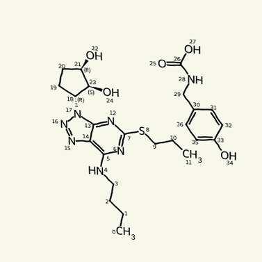 CCCCNc1nc(SCCC)nc2c1nnn2[C@@H]1CC[C@@H](O)[C@H]1O.O=C(O)NCc1ccc(O)cc1